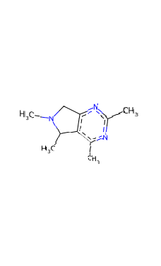 Cc1nc(C)c2c(n1)CN(C)C2C